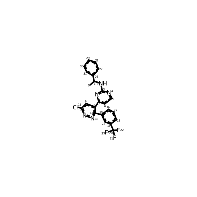 CC(Nc1nccc(-c2cc(Cl)nnc2-c2cccc(C(F)(F)F)c2)n1)c1ccccc1